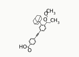 CCC(OCOC)c1ccc(C#Cc2ccc(C(=O)O)cc2)cc1C12CC3CC(CC(C3)C1)C2